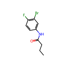 CCCC(=O)Nc1ccc(F)c(Br)c1